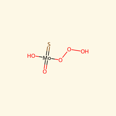 [O]=[Mo]([OH])(=[S])[O]OO